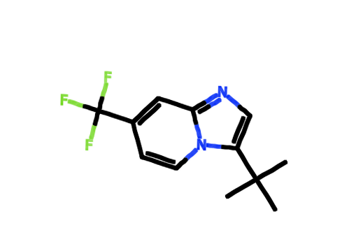 CC(C)(C)c1cnc2cc(C(F)(F)F)ccn12